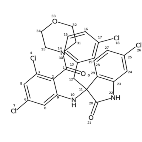 O=C(c1c(Cl)cc(Cl)cc1NC1(Cc2cccc(Cl)c2)C(=O)Nc2cc(Cl)ccc21)N1CCOCC1